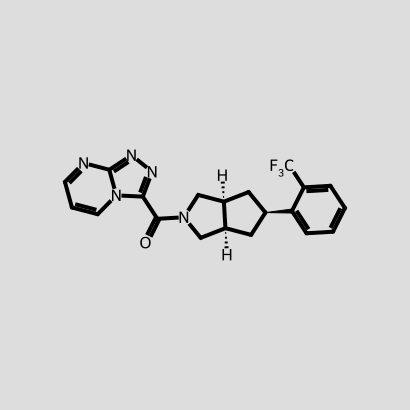 O=C(c1nnc2ncccn12)N1C[C@H]2C[C@@H](c3ccccc3C(F)(F)F)C[C@H]2C1